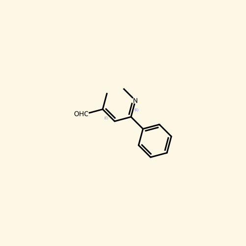 C/N=C(\C=C(/C)C=O)c1ccccc1